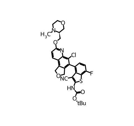 CN1CCOC[C@H]1COc1ccc2c3c(c(-c4ccc(F)c5sc(NC(=O)OC(C)(C)C)c(C#N)c45)c(Cl)c2n1)COC3